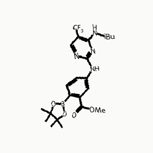 CCC(C)Nc1nc(Nc2ccc(B3OC(C)(C)C(C)(C)O3)c(C(=O)OC)c2)ncc1C(F)(F)F